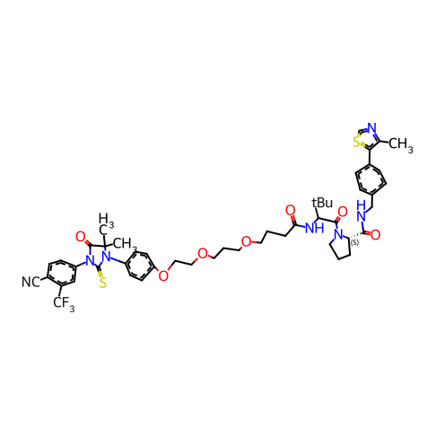 Cc1ncsc1-c1ccc(CNC(=O)[C@@H]2CCCN2C(=O)C(NC(=O)CCCOCCCOCCOc2ccc(N3C(=S)N(c4ccc(C#N)c(C(F)(F)F)c4)C(=O)C3(C)C)cc2)C(C)(C)C)cc1